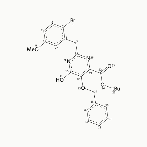 COc1ccc(Br)c(Cc2nc(O)c(OCc3ccccc3)c(C(=O)OC(C)(C)C)n2)c1